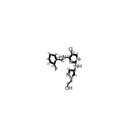 OCCn1cc(Nc2ncc(Cl)c(NCc3ccccc3F)n2)cn1